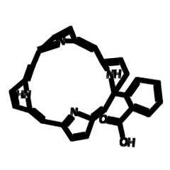 O=C(O)c1ccccc1C12C=C3C=CC(=N3)C=c3ccc([nH]3)=CC3=NC(=CC(=CC1)N2)C=C3